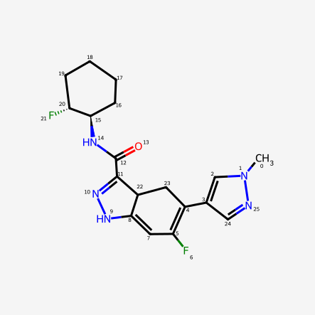 Cn1cc(C2=C(F)C=C3NN=C(C(=O)N[C@@H]4CCCC[C@H]4F)C3C2)cn1